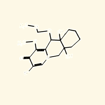 COCOC1c2c(OC)c(=O)c(Br)cn2CC2(O)CCCCC12C